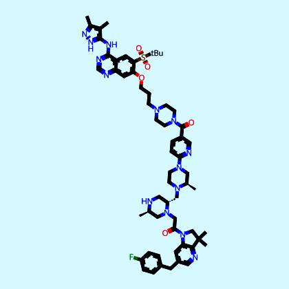 Cc1n[nH]c(Nc2ncnc3cc(OCCCN4CCN(C(=O)c5ccc(N6CCN(C[C@H]7CN[C@H](C)CN7CC(=O)N7CC(C)(C)c8ncc(Cc9ccc(F)cc9)cc87)[C@H](C)C6)nc5)CC4)c(S(=O)(=O)C(C)(C)C)cc23)c1C